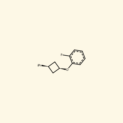 CC(C)[C@H]1C[C@@H](Oc2ccccc2F)C1